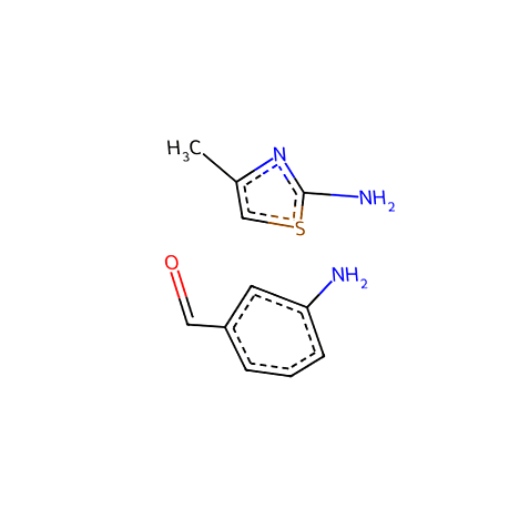 Cc1csc(N)n1.Nc1cccc(C=O)c1